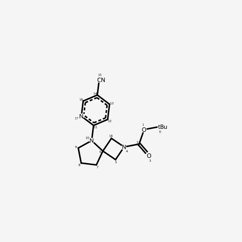 CC(C)(C)OC(=O)N1CC2(CCCN2c2ccc(C#N)cn2)C1